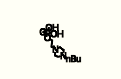 CCCCN1CCN(CCOP(=O)(O)O)CC1